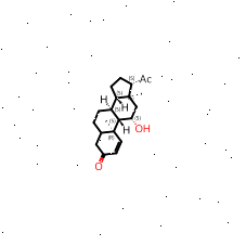 CC(=O)[C@H]1CC[C@H]2[C@@H]3CCC4CC(=O)C=C[C@]4(C)[C@H]3[C@@H](O)C[C@]12C